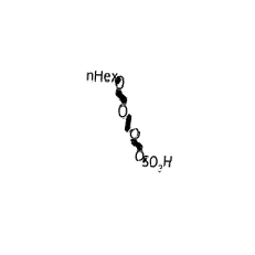 CCCCCCOCCOCCOCCOS(=O)(=O)O